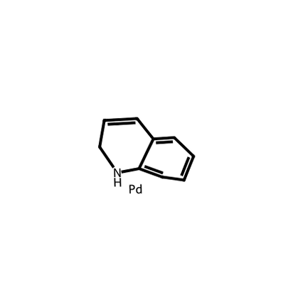 C1=Cc2ccccc2NC1.[Pd]